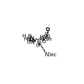 CCCCCCCCCCCCCCCCCC(=O)OC[C@H](CCOC(=O)[C@@H](NC(=O)OCc1ccccc1)C(C)C)Cn1cnc2c(=O)[nH]c(N)nc21